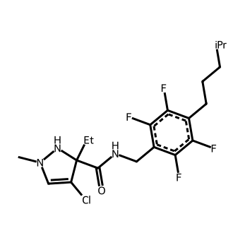 CCC1(C(=O)NCc2c(F)c(F)c(CCCC(C)C)c(F)c2F)NN(C)C=C1Cl